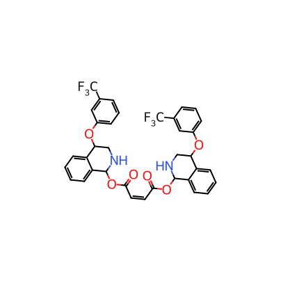 O=C(/C=C\C(=O)OC1NCC(Oc2cccc(C(F)(F)F)c2)c2ccccc21)OC1NCC(Oc2cccc(C(F)(F)F)c2)c2ccccc21